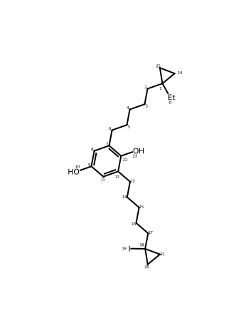 CCC1(CCCCCc2cc(O)cc(CCCCCC3(I)CC3)c2O)CC1